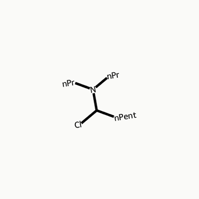 CCCCCC(Cl)N(CCC)CCC